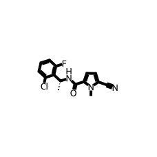 C[C@@H](NC(=O)c1ccc(C#N)n1C)c1c(F)cccc1Cl